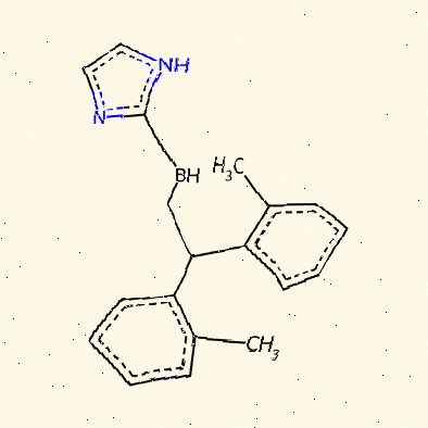 Cc1ccccc1C(CBc1ncc[nH]1)c1ccccc1C